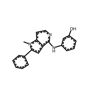 Cn1c(-c2ccccc2)cc2c(Nc3cccc(O)c3)nccc21